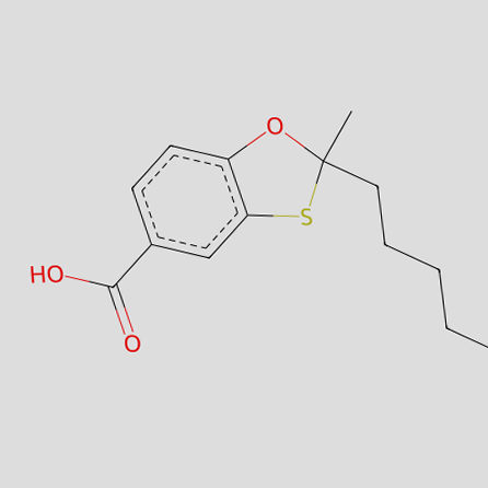 CCCCCC1(C)Oc2ccc(C(=O)O)cc2S1